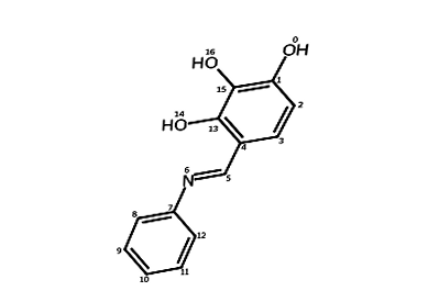 Oc1ccc(C=Nc2ccccc2)c(O)c1O